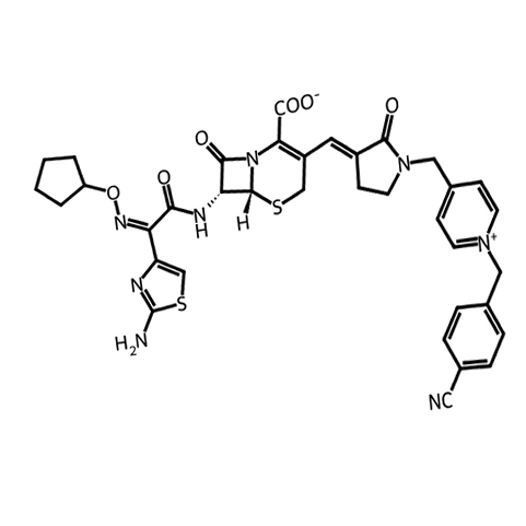 N#Cc1ccc(C[n+]2ccc(CN3CCC(=CC4=C(C(=O)[O-])N5C(=O)[C@@H](NC(=O)/C(=N\OC6CCCC6)c6csc(N)n6)[C@H]5SC4)C3=O)cc2)cc1